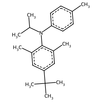 Cc1ccc(N(c2c(C)cc(C(C)(C)C)cc2C)C(C)C)cc1